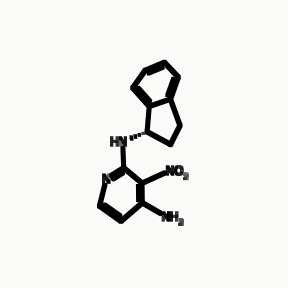 Nc1ccnc(N[C@H]2CCc3ccccc32)c1[N+](=O)[O-]